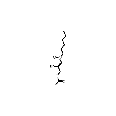 CCCCCC[S+]([O-])C=C(Br)COC(C)=O